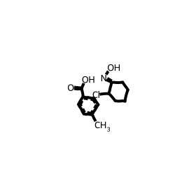 Cc1ccc(C(=O)O)cc1.ON=C1CCCCC1Cl